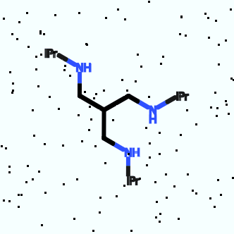 CC(C)NCC(CNC(C)C)CNC(C)C